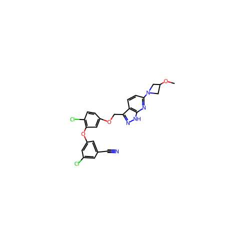 COC1CN(c2ccc3c(COc4ccc(Cl)c(Oc5cc(Cl)cc(C#N)c5)c4)n[nH]c3n2)C1